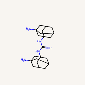 N=C(NC12CC3CC(CC(N)(C3)C1)C2)NC12CC3CC(CC(N)(C3)C1)C2